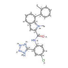 Cc1ccccc1-c1cccc2cc(C(=O)Nc3ccc(Cl)cc3-c3nnn[nH]3)n(C)c12